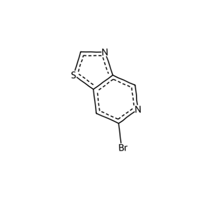 Brc1cc2scnc2cn1